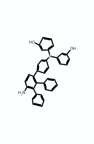 Nc1ccc(-c2ccc(N(c3cccc(O)c3)c3cccc(O)c3)cc2)c(-c2ccccc2)c1-c1ccccc1